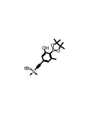 Cc1cc(C#C[Si](C)(C)C(C)(C)C)cc(O)c1B1OC(C)(C)C(C)(C)O1